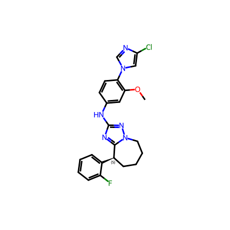 COc1cc(Nc2nc3n(n2)CCCC[C@H]3c2ccccc2F)ccc1-n1cnc(Cl)c1